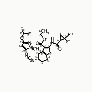 CCOC(=O)c1c(NC(=O)[C@H]2CC2(F)F)sc2c1C[C@@H](N=C=Nc1cc(OC(F)F)nn1C)CC2